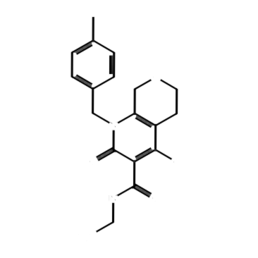 Cc1ccc(Cn2c3c(c(O)c(C(=O)NCC(=O)O)c2=O)CCOC3)cc1